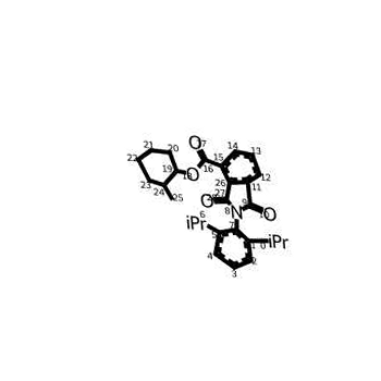 CC(C)c1cccc(C(C)C)c1N1C(=O)c2cccc(C(=O)OC3CCCCC3C)c2C1=O